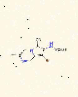 Cc1cn2c(C#N)c(NC(=O)O)c(Br)c2cn1